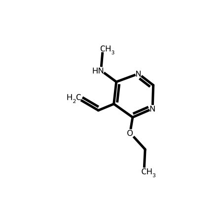 C=Cc1c(NC)ncnc1OCC